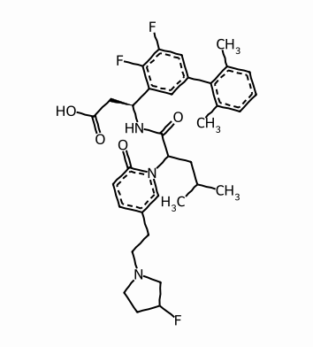 Cc1cccc(C)c1-c1cc(F)c(F)c([C@H](CC(=O)O)NC(=O)C(CC(C)C)n2cc(CCN3CCC(F)C3)ccc2=O)c1